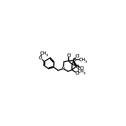 COc1ccc(CN2CC3(Cl)C(Cl)=C(Cl)C(Cl)(C2)C3(OC)OC)cc1